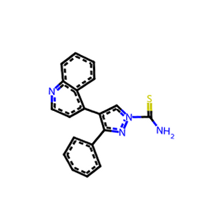 NC(=S)n1cc(-c2ccnc3ccccc23)c(-c2ccccc2)n1